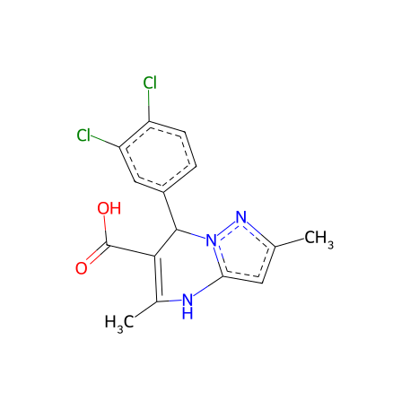 CC1=C(C(=O)O)C(c2ccc(Cl)c(Cl)c2)n2nc(C)cc2N1